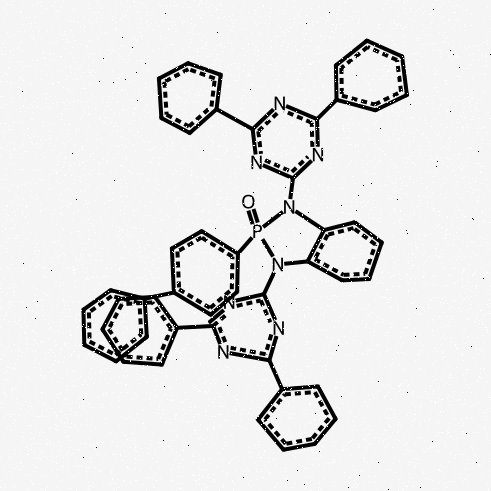 O=P1(c2ccc(-c3ccccc3)cc2)N(c2nc(-c3ccccc3)nc(-c3ccccc3)n2)c2ccccc2N1c1nc(-c2ccccc2)nc(-c2ccccc2)n1